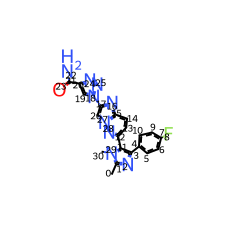 Cc1nc(-c2ccc(F)cc2)c(-c2ccc3nc(-n4cc(C(N)=O)nn4)cn3n2)n1C